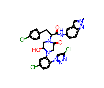 Cn1cc2cc(NC(=O)C(Cc3ccc(Cl)cc3)N3CC(O)N(c4cc(Cl)ccc4-n4cc(Cl)nn4)CC3=O)ccc2n1